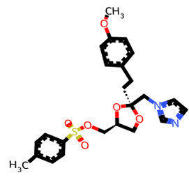 COc1ccc(CC[C@]2(Cn3ccnc3)OC[C@@H](COS(=O)(=O)c3ccc(C)cc3)O2)cc1